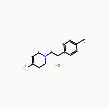 CC(C)c1ccc(CCN2CC=C(C(F)(F)F)CC2)cc1.Cl